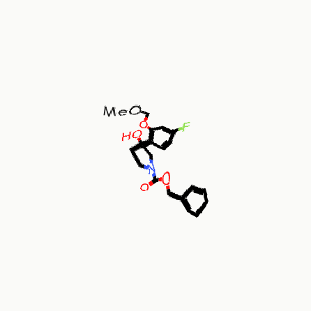 COCOc1cc(F)ccc1C1(O)CCN(C(=O)OCc2ccccc2)C1